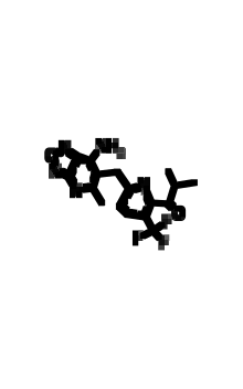 Cc1nc2nonc2c(N)c1Cc1ccc(C(F)(F)F)c(C(=O)C(C)C)n1